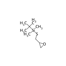 CC(C)(C)[Si](C)(C)SCC1CO1